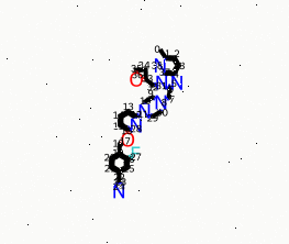 Cc1ccc2nc(CN3CCN(c4cccc(OCc5ccc(C#N)cc5F)n4)CC3)n(CC3CCO3)c2n1